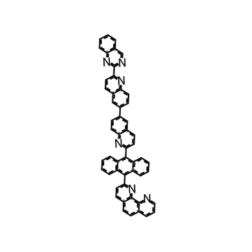 c1ccc2nc(-c3ccc4cc(-c5ccc6nc(-c7c8ccccc8c(-c8ccc9ccc%10cccnc%10c9n8)c8ccccc78)ccc6c5)ccc4n3)ncc2c1